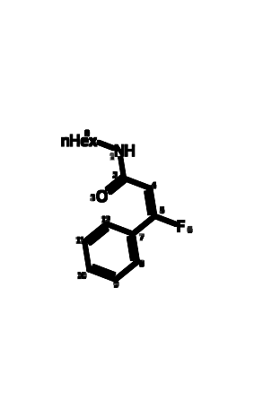 CCCCCCNC(=O)/C=C(/F)c1ccccc1